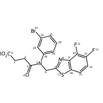 CCOC(=O)CCC(=O)N(Cc1nc2c(F)c(F)ccc2s1)c1cccc(Br)c1